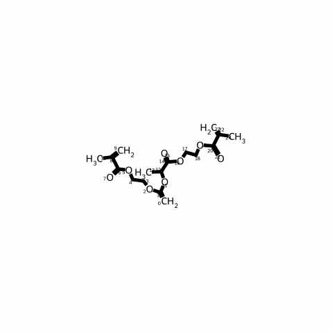 C=C(OCCOC(=O)C(=C)C)OC(C)C(=O)OCCOC(=O)C(=C)C